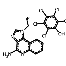 CC(C)Cn1cnc2c(N)nc3ccccc3c21.Oc1c(Cl)c(Cl)c(Cl)c(Cl)c1Cl